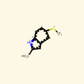 O=C(O)c1cc2cc(SC(F)(F)F)ccc2[nH]1